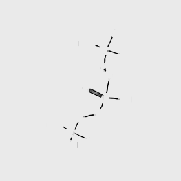 C[Si](C)(C)OOP(=O)(O)OO[Si](C)(C)C